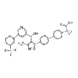 Cc1noc(-c2ccc(-c3ccc(C4(C(=O)O)CC4)cc3)cc2)c1C(O)c1cncc(-c2cccc(C(F)(F)F)c2)c1